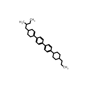 CCCC1CCC(c2ccc(-c3ccc(C4=CCC(CC(C)CC)CC4)cc3)cc2)CC1